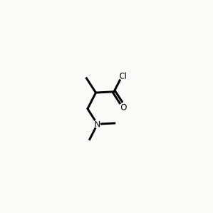 CC(CN(C)C)C(=O)Cl